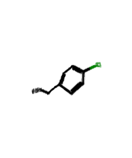 Clc1ccc([CH2][SnH])cc1